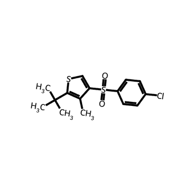 Cc1c(S(=O)(=O)c2ccc(Cl)cc2)csc1C(C)(C)C